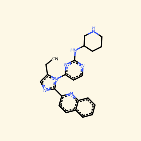 N#CCc1cnc(-c2ccc3ccccc3n2)n1-c1ccnc(NC2CCCNC2)n1